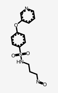 O=NCCCNS(=O)(=O)c1ccc(Oc2cccnc2)cc1